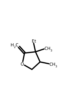 C=C1OCC(C)C1(C)CC